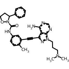 Cc1ccc(NC(=O)N2OCCC2c2ccccc2)cc1C#Cc1nn(CCCN(C)C)c2ncnc(N)c12